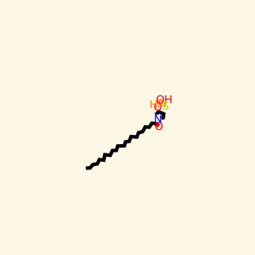 CCCCCCCCCCCCCCCCCCCCCC(=O)N1CC[C@H](O[PH](O)=S)C1